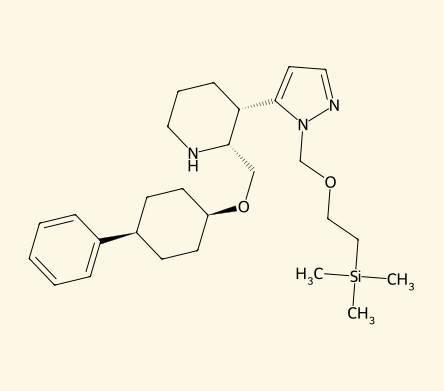 C[Si](C)(C)CCOCn1nccc1[C@H]1CCCN[C@H]1CO[C@H]1CC[C@@H](c2ccccc2)CC1